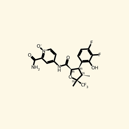 C[C@H]1[C@H](c2ccc(F)c(F)c2O)[C@H](C(=O)Nc2cc[n+]([O-])c(C(N)=O)c2)O[C@]1(C)C(F)(F)F